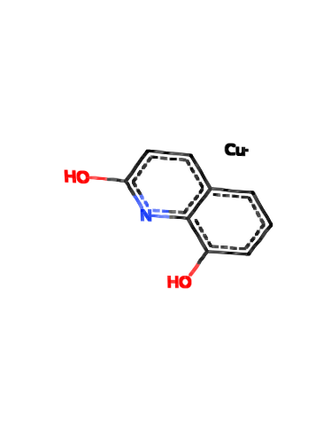 Oc1ccc2cccc(O)c2n1.[Cu]